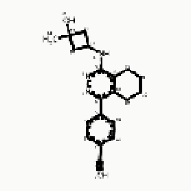 C#Cc1ccc(-c2nnc(NC3CC(C)(O)C3)c3c2CCCC3)cc1